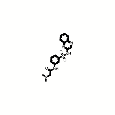 CN(C)CC(=O)Nc1cccc(S(=O)(=O)Nc2cnc3ccccc3n2)c1